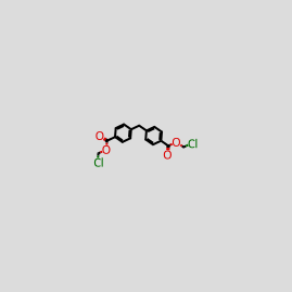 O=C(OCCl)c1ccc(Cc2ccc(C(=O)OCCl)cc2)cc1